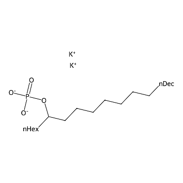 CCCCCCCCCCCCCCCCCC(CCCCCC)OP(=O)([O-])[O-].[K+].[K+]